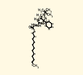 CCCCCCCCCCCCSC(=O)NNC(=S)NC(N=NC(C)(C)C)(C(C)C)C1CCCCC1